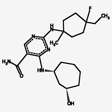 CCC1(F)CCC(C)(Nc2ncc(C(N)=O)c(N[C@@H]3CCCC[C@H](O)C3)n2)CC1